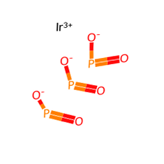 O=P[O-].O=P[O-].O=P[O-].[Ir+3]